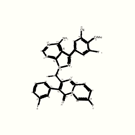 COc1c(F)cc(-c2nn([C@H](C)c3nc4ccc(F)cn4c(=O)c3-c3cccc(F)c3)c3ncnc(N)c23)cc1C#N